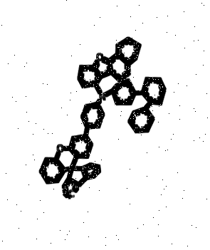 c1ccc(-c2ccccc2-c2ccc(N(c3ccc(-c4ccc5c(c4)Oc4ccccc4C54c5ccccc5-c5ccccc54)cc3)c3cccc4oc5c6ccccc6ccc5c34)cc2)cc1